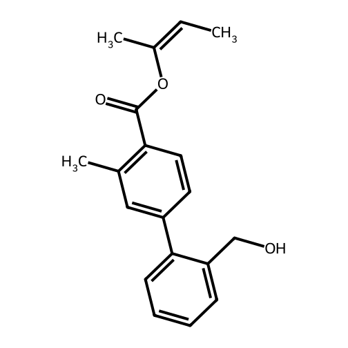 C/C=C(/C)OC(=O)c1ccc(-c2ccccc2CO)cc1C